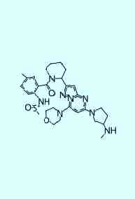 CNC1CCN(c2cc(N3CCOCC3)n3nc(C4CCCCN4C(=O)c4cc(C)ccc4N[S+](C)[O-])cc3n2)C1